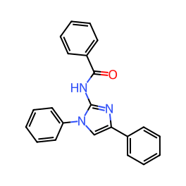 O=C(Nc1nc(-c2ccccc2)cn1-c1ccccc1)c1ccccc1